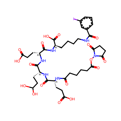 O=C(O)CC[C@@H](NC(=O)CCCCC(=O)ON1C(=O)CCC1=O)C(=O)N[C@H](CCC(O)O)C(=O)N[C@H](CCC(=O)O)C(=O)N[C@H](CCCCNC(=O)c1cccc(I)c1)C(=O)O